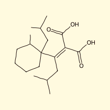 CC(C)CC(=C(C(=O)O)C(=O)O)C1(CC(C)C)CCCCC1C